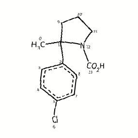 CC1(c2ccc(Cl)cc2)CCCN1C(=O)O